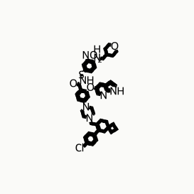 O=C(NSc1ccc(NCC2CCOCC2)c([N+](=O)[O-])c1)c1ccc(N2CCN(CC3=C(c4ccc(Cl)cc4)CC4(CCC4)CC3)CC2)cc1Oc1cnc2[nH]ccc2c1